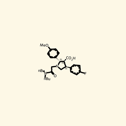 CCCCN(CCCC)C(=O)CN1C[C@H](c2ccc(F)cc2)[C@H](C(=O)O)[C@H]1c1ccc(OC)cc1